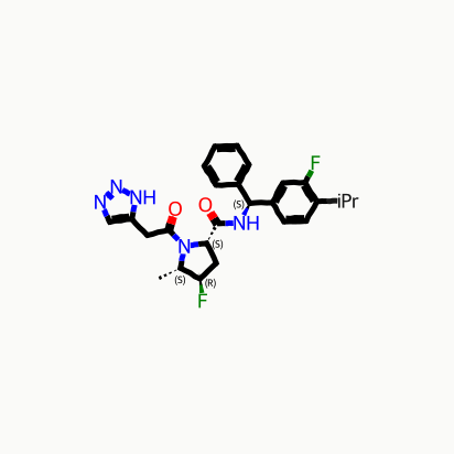 CC(C)c1ccc([C@@H](NC(=O)[C@@H]2C[C@@H](F)[C@H](C)N2C(=O)Cc2cnn[nH]2)c2ccccc2)cc1F